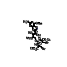 CCOC(=O)C(CC(C)C)NP(=O)(N[C@H](CC(C)C)C(=O)OCC)OCC(OC)C(O)C(O)C/C=N\c1c(N)nc(N)nc1OC